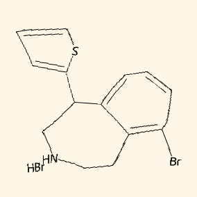 Br.Brc1cccc2c1CCNCC2c1cccs1